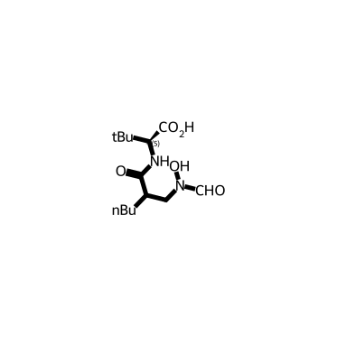 CCCCC(CN(O)C=O)C(=O)N[C@H](C(=O)O)C(C)(C)C